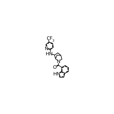 O=C(c1cccc2cc[nH]c12)N1CC2CC(Nc3ccc(C(F)(F)F)cn3)C1C2